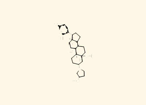 C[C@]12CC[C@H](N3CC[C@H](O)C3)C[C@@]1(O)CC[C@@H]1[C@@H]2CC[C@]2(C)[C@@H](c3ccc(=O)oc3)CC[C@]12O